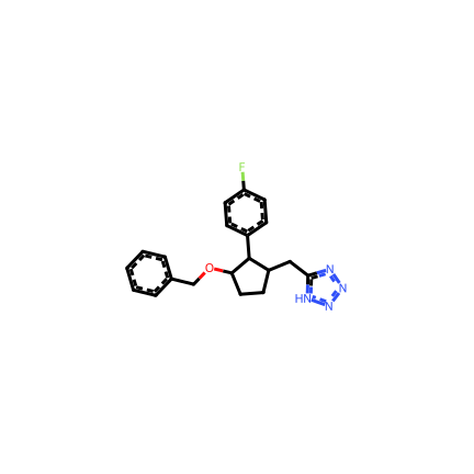 Fc1ccc(C2C(Cc3nnn[nH]3)CCC2OCc2ccccc2)cc1